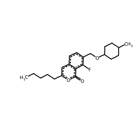 CCCCCc1cc2ccc(COC3CCC(C)CC3)c(F)c2c(=O)o1